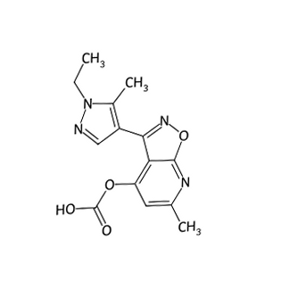 CCn1ncc(-c2noc3nc(C)cc(OC(=O)O)c23)c1C